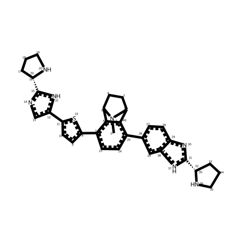 CN1C2CCC1c1c(-c3ccc(-c4cnc([C@@H]5CCCN5)[nH]4)s3)ccc(-c3ccc4nc([C@@H]5CCCN5)[nH]c4c3)c12